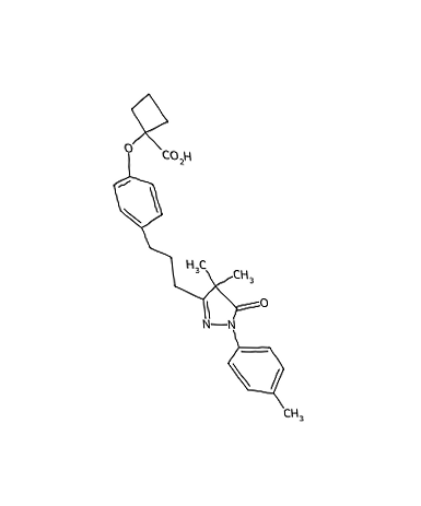 Cc1ccc(N2N=C(CCCc3ccc(OC4(C(=O)O)CCC4)cc3)C(C)(C)C2=O)cc1